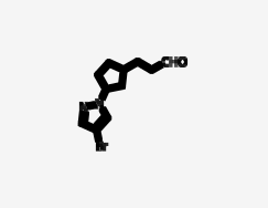 O=CCCC1CCC(n2cc(Br)cn2)C1